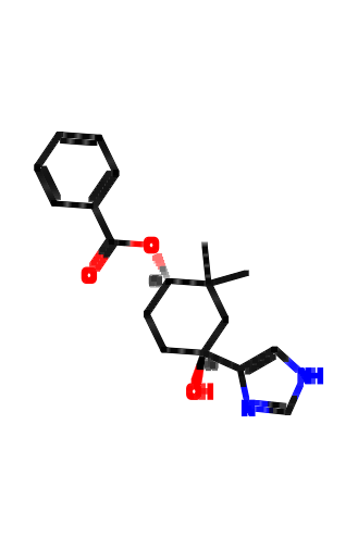 CC1(C)C[C@](O)(c2c[nH]cn2)CC[C@@H]1OC(=O)c1ccccc1